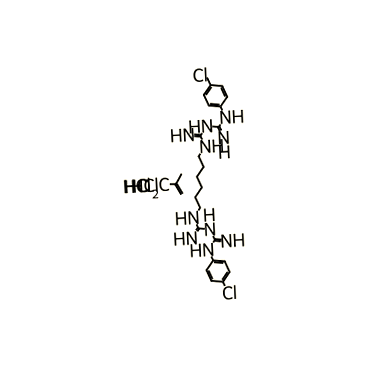 C=C(C)C(=O)O.Cl.Cl.N=C(NCCCCCCNC(=N)NC(=N)Nc1ccc(Cl)cc1)NC(=N)Nc1ccc(Cl)cc1